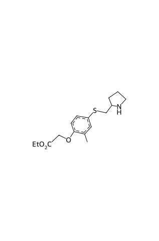 CCOC(=O)COc1ccc(SCC2CCCN2)cc1C